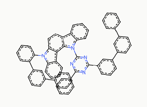 c1ccc(-c2cccc(-c3cccc(-c4nc(-c5ccccc5)nc(-n5c6ccccc6c6ccc7c(c8ccccc8n7-c7ccccc7-c7cccc(-c8ccccc8)c7)c65)n4)c3)c2)cc1